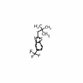 CC(C)(C)[CH]c1nc2cc(C(F)(F)F)ccc2s1